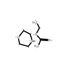 C1COCCN1.CCOC(C)=O